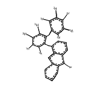 [2H]c1c([2H])c([2H])c(-c2c([2H])c([2H])c([2H])c([2H])c2-c2cccc3c(Br)c4ccccc4cc23)c([2H])c1[2H]